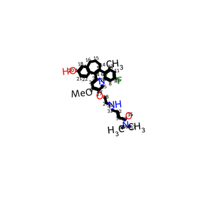 COc1cc(C2=C(c3ccc(F)cc3C)CCCc3cc(O)ccc32)ncc1OCCNC/C=C/C(=O)N(C)C